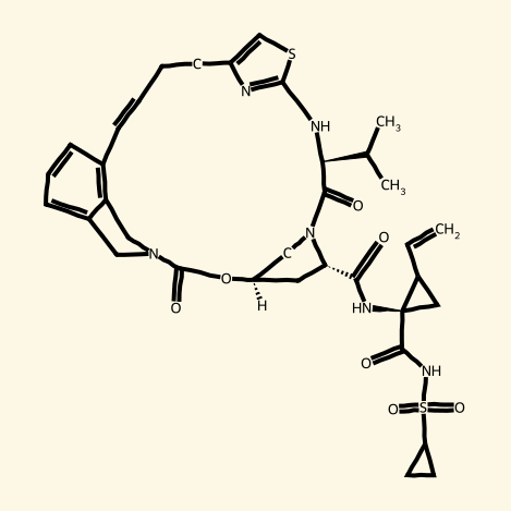 C=CC1C[C@]1(NC(=O)[C@@H]1C[C@@H]2CN1C(=O)[C@H](C(C)C)Nc1nc(cs1)CC/C=C/c1cccc3c1CN(C3)C(=O)O2)C(=O)NS(=O)(=O)C1CC1